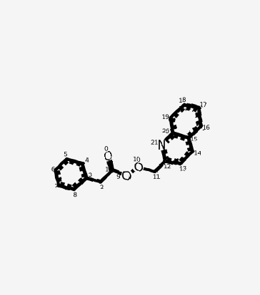 O=C(Cc1ccccc1)OOCc1ccc2ccccc2n1